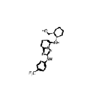 OC[C@H]1CCCC[C@H]1Nc1cccc2nc(Nc3ccc(C(F)(F)F)cc3)nn12